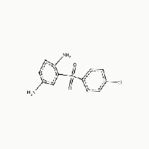 Nc1ccc(N)c(S(=O)(=O)c2ccc(Cl)cc2)c1